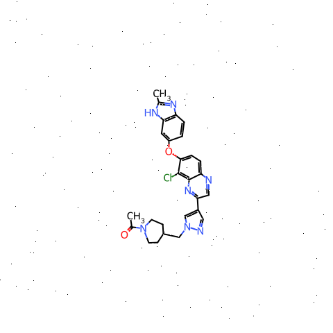 CC(=O)N1CCC(Cn2cc(-c3cnc4ccc(Oc5ccc6nc(C)[nH]c6c5)c(Cl)c4n3)cn2)CC1